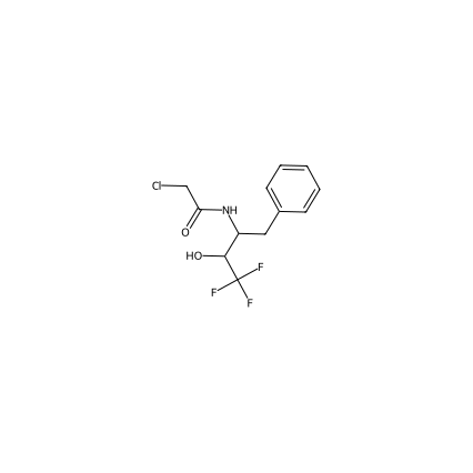 O=C(CCl)NC(Cc1ccccc1)C(O)C(F)(F)F